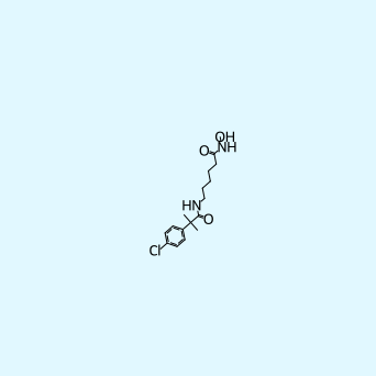 CC(C)(C(=O)NCCCCCC(=O)NO)c1ccc(Cl)cc1